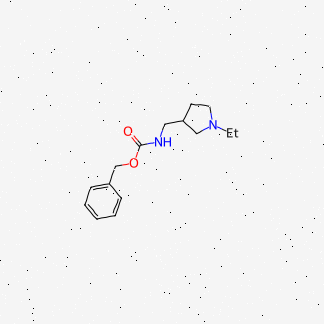 CCN1CCC(CNC(=O)OCc2ccccc2)C1